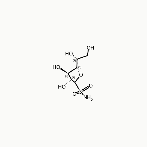 NS(=O)(=O)C1O[C@@H]([C@H](O)CO)[C@H](O)[C@H]1O